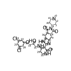 CN1CCC(N2C(=O)c3cc4nc(-c5c(NCC(O)COc6cc(Cl)cc(Cl)c6)cc[nH]c5=O)[nH]c4cc3C2=O)CC1